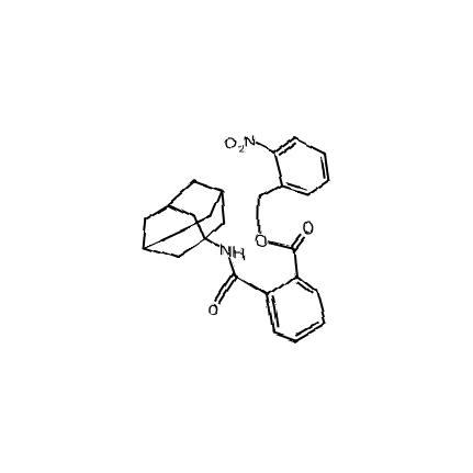 O=C(NC12CC3CC(CC(C3)C1)C2)c1ccccc1C(=O)OCc1ccccc1[N+](=O)[O-]